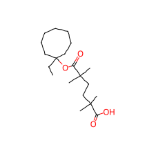 CCC1(OC(=O)C(C)(C)CCC(C)(C)C(=O)O)CCCCCCC1